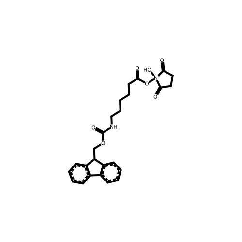 O=C(CCCCCNC(=O)OCC1c2ccccc2-c2ccccc21)O[N+]1(O)C(=O)CCC1=O